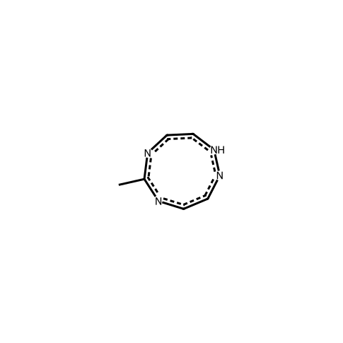 Cc1nccn[nH]ccn1